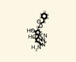 N#C[C@@]1(c2ccc3c(N)ncnn23)C[C@H](COC(=O)Cc2ccccc2)[C@@H](O)[C@H]1O